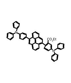 CCOC(=O)c1cc(N(c2ccccc2)c2ccccc2)ccc1-c1cc2cccc3c(-c4ccc(N(c5ccccc5)c5ccccc5)cc4)cc4cccc1c4c23